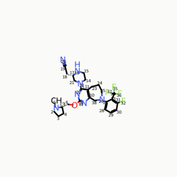 CN1CCC[C@H]1COc1nc2c(c(N3CCN[C@@H](CC#N)C3)n1)CCCN(c1cccc(F)c1C(F)(F)F)C2